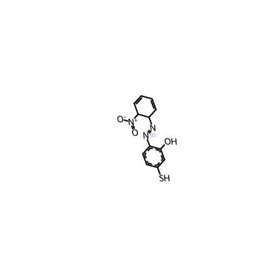 O=[N+]([O-])C1C=CC=CC1/N=N/c1ccc(S)cc1O